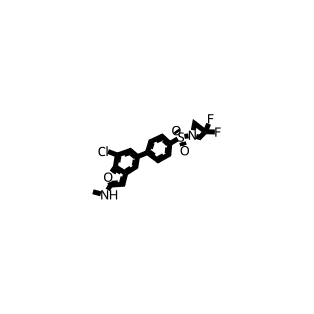 CNc1cc2cc(-c3ccc(S(=O)(=O)N4CC(F)(F)C4)cc3)cc(Cl)c2o1